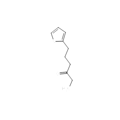 CCC(=O)CCCc1cccs1